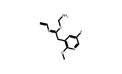 C=C/N=C(/Cc1cc(F)cnc1OC)SCN